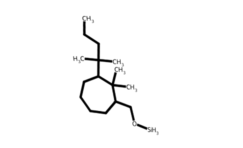 CCCC(C)(C)C1CCCC[C](CO[SiH3])C1(C)C